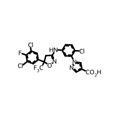 O=C(O)c1cnn(-c2cc(NC3=NOC(c4cc(Cl)c(F)c(Cl)c4)(C(F)(F)F)C3)ccc2Cl)c1